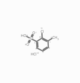 Cc1cccc(S(=O)(=O)O)c1Cl.Cl